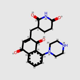 O=C1CCC(CC2=CC(=O)c3cccc(N4CCNCC4)c3C2=O)C(=O)N1